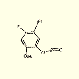 COc1cc(F)c(C(C)C)cc1OB=O